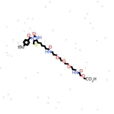 CC(C)(C)c1ccc(C(=O)N2C(=O)NC3C(CCCCC(=O)NCCCOCCOCCOCCCNC(=O)COCC(=O)O)SCC32)cc1